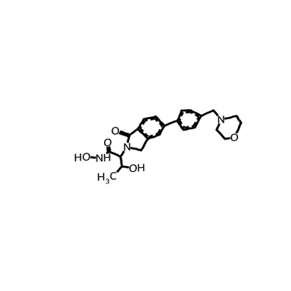 CC(O)C(C(=O)NO)N1Cc2cc(-c3ccc(CN4CCOCC4)cc3)ccc2C1=O